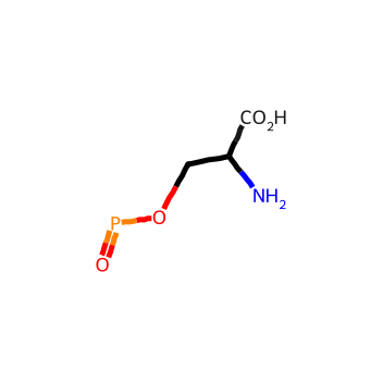 NC(COP=O)C(=O)O